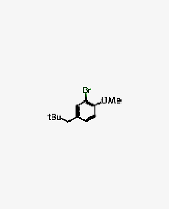 COc1ccc(CC(C)(C)C)cc1Br